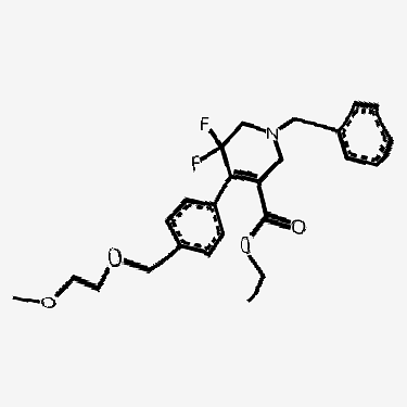 CCOC(=O)C1=C(c2ccc(COCCOC)cc2)C(F)(F)CN(Cc2ccccc2)C1